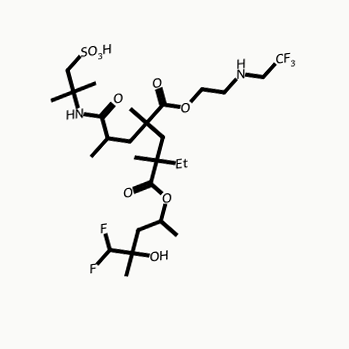 CCC(C)(CC(C)(CC(C)C(=O)NC(C)(C)CS(=O)(=O)O)C(=O)OCCNCC(F)(F)F)C(=O)OC(C)CC(C)(O)C(F)F